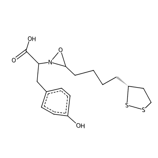 O=C(O)C(Cc1ccc(O)cc1)N1OC1CCCC[C@@H]1CCSS1